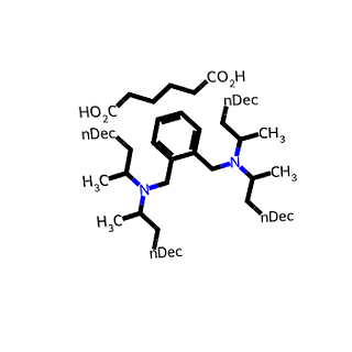 CCCCCCCCCCCC(C)N(Cc1ccccc1CN(C(C)CCCCCCCCCCC)C(C)CCCCCCCCCCC)C(C)CCCCCCCCCCC.O=C(O)CCCCC(=O)O